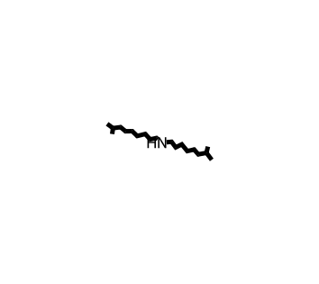 CC(C)CCCCCCCNCCCCCCC(C)C